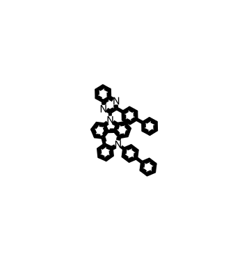 c1ccc(-c2ccc(-c3nc4ccccc4nc3-n3c4cccc5c6ccccc6n(-c6ccc(-c7ccccc7)cc6)c6cccc3c6c54)cc2)cc1